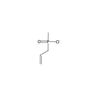 C=CCP(C)(=O)Cl